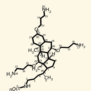 CCCCCCCCNCCC[C@@H](C)C1CC[C@H]2C3[C@H](OCCCN)CC4C[C@H](OCCCN)CC[C@]4(C)[C@H]3C[C@H](OCCCN)[C@]12C